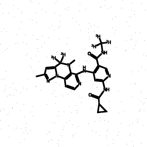 [2H]C([2H])([2H])NC(=O)c1cnc(NC(=O)C2CC2)cc1Nc1nccc2c1N(C)C([2H])([2H])c1cc(C)nn1-2